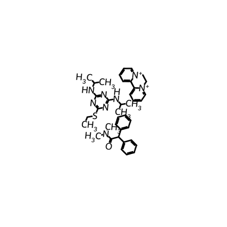 CCSc1nc(NC(C)C)nc(NC(C)C)n1.CN(C)C(=O)C(c1ccccc1)c1ccccc1.c1cc[n+]2c(c1)-c1cccc[n+]1CC2